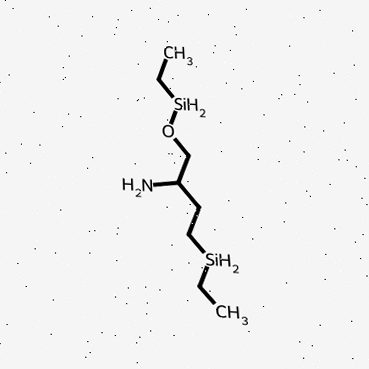 CC[SiH2]CCC(N)CO[SiH2]CC